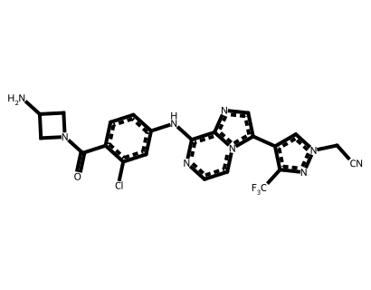 N#CCn1cc(-c2cnc3c(Nc4ccc(C(=O)N5CC(N)C5)c(Cl)c4)nccn23)c(C(F)(F)F)n1